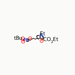 CCOC(=O)c1cn(CC)c2ccc(CCCO[C@@H]3CCN(C(=O)OC(C)(C)C)C3)cc2c1=O